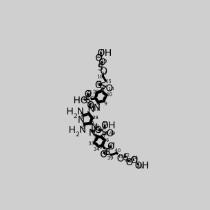 Nc1nc(N)c(/N=N/c2ccc(S(=O)(=O)CCOSOOO)cc2S(=O)(=O)O)cc1/N=N/c1ccc(S(=O)(=O)CCOSOOO)cc1S(=O)(=O)O